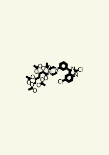 CC(=O)OC[C@@H](OC(C)=O)[C@@H](OC(C)=O)[C@H](OC(C)=O)[C@@H](OC(C)=O)C(=O)N1CCN(c2cccc(-c3nc(Cl)nc4ccc(Cl)cc34)c2)CC1